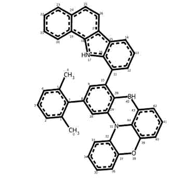 Cc1cccc(C)c1-c1cc(-c2cccc3c2[nH]c2c4ccccc4ccc32)c2c(c1)N1c3ccccc3Oc3cccc(c31)B2